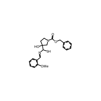 COc1ccccc1/C=N/C(S)C1(O)CCN(C(=O)OCc2ccccc2)C1